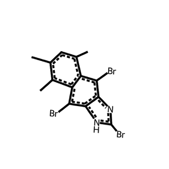 Cc1cc(C)c2c(Br)c3nc(Br)[nH]c3c(Br)c2c1C